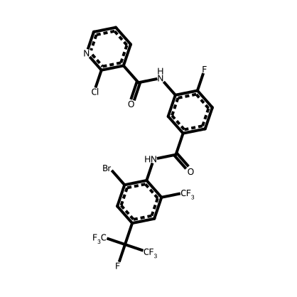 O=C(Nc1c(Br)cc(C(F)(C(F)(F)F)C(F)(F)F)cc1C(F)(F)F)c1ccc(F)c(NC(=O)c2cccnc2Cl)c1